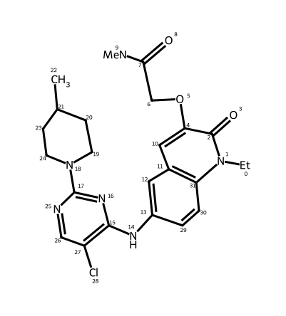 CCn1c(=O)c(OCC(=O)NC)cc2cc(Nc3nc(N4CCC(C)CC4)ncc3Cl)ccc21